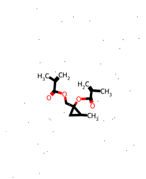 C=C(C)C(=O)OCC1(OC(=O)C(=C)C)CC1C